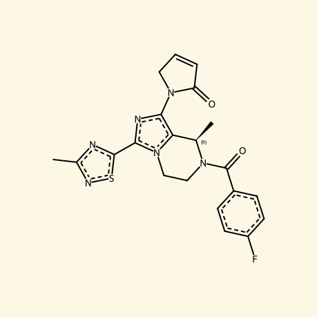 Cc1nsc(-c2nc(N3CC=CC3=O)c3n2CCN(C(=O)c2ccc(F)cc2)[C@@H]3C)n1